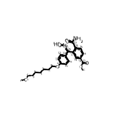 COCCCCCCCOc1ccc(C(=NO)c2cc(C(=O)OC)ccc2C(N)=O)cc1